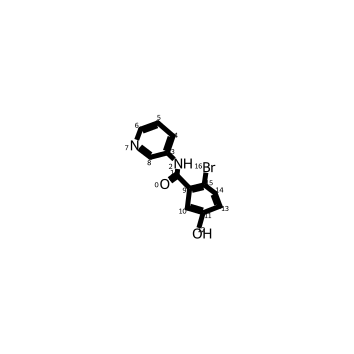 O=C(Nc1cccnc1)c1cc(O)ccc1Br